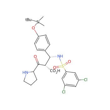 CC(C)(C)[Si](C)(C)Oc1ccc([C@H](NS(=O)(=O)c2cc(Cl)cc(Cl)c2)[C@H](C(=O)O)C(=O)C2CCCN2)cc1